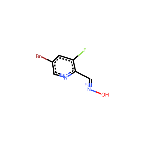 O/N=C/c1ncc(Br)cc1F